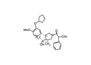 COc1ccc([C@@H]2CN(C(=O)C(OC(C)=O)c3ccccc3)C[C@@]2(C)[C@@H](C)O)cc1OC1CCCC1